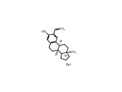 C=Cc1cc2c(cc1O)CC[C@@H]1[C@@H]2CC[C@]2(C)C[C@H](O)C[C@@H]12